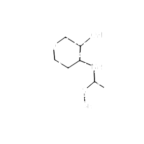 CC(NC1CCOCC1O)SS